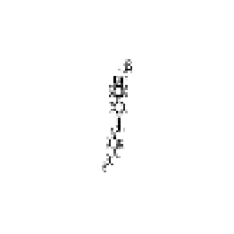 CCCCC[C@H]1CC[C@H](C=CC#C[C@H]2CC[C@H](c3ccc(OCCCC)cc3)CC2)CC1